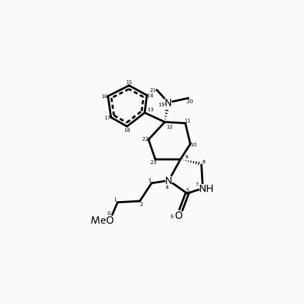 COCCCN1C(=O)NC[C@]12CC[C@@](c1ccccc1)(N(C)C)CC2